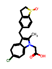 Cc1c(Cc2ccc3c(c2)CC[S+]3[O-])c2c(n1CC(=O)O)=CC=C(Cl)CC=2